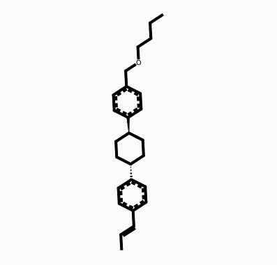 CC=Cc1ccc([C@H]2CC[C@H](c3ccc(COCCCC)cc3)CC2)cc1